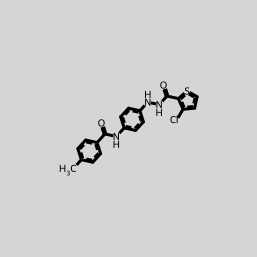 Cc1ccc(C(=O)Nc2ccc(NNC(=O)c3sccc3Cl)cc2)cc1